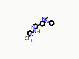 Cc1nc2cc(-c3ccnc(Nc4cccc(C(F)(F)F)n4)c3)ccc2n1-c1ccccc1